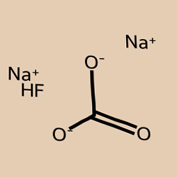 F.O=C([O-])[O-].[Na+].[Na+]